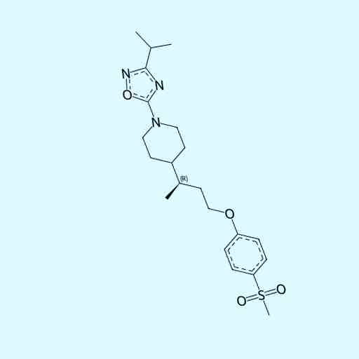 CC(C)c1noc(N2CCC([C@H](C)CCOc3ccc(S(C)(=O)=O)cc3)CC2)n1